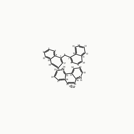 [Eu].c1ccc2c(Cc3cccc4ccccc34)cccc2c1.c1cnc2c(c1)ccc1ncccc12